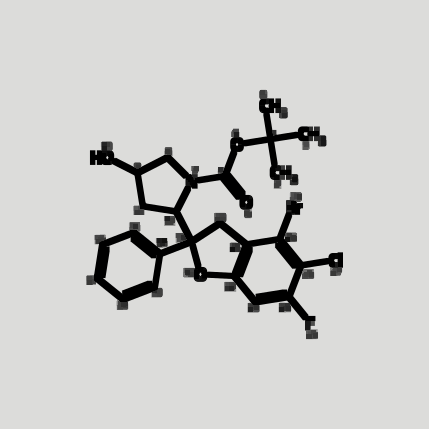 CC(C)(C)OC(=O)N1CC(O)CC1C1(c2ccccc2)Cc2c(cc(F)c(Cl)c2Br)O1